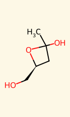 CC1(O)C[C@@H](CO)O1